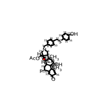 CC(=O)OCC(=O)[C@@]12CN(Cc3ccc(CSc4ccc(O)cc4)cc3)C[C@@H]1C[C@@]1(C)[C@@H]3C[C@H](F)C4=CC(=O)C=C[C@]4(C)[C@@]3(F)[C@@H](O)C[C@@]12C